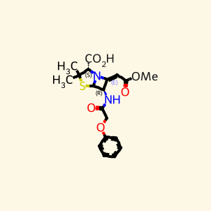 COC(=O)/C=C1\[C@@H](NC(=O)COc2ccccc2)C2SC(C)(C)[C@H](C(=O)O)N12